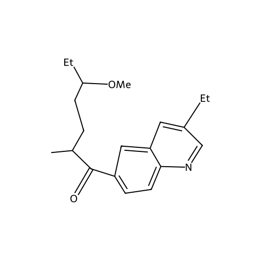 CCc1cnc2ccc(C(=O)C(C)CCC(CC)OC)cc2c1